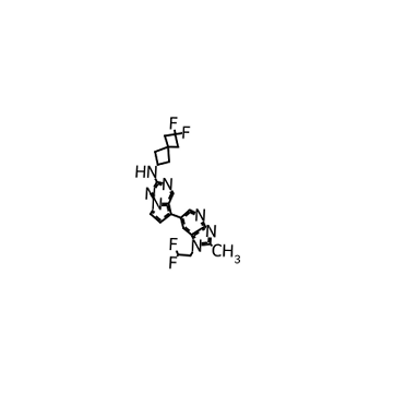 Cc1nc2ncc(-c3ccn4nc(NC5CC6(C5)CC(F)(F)C6)ncc34)cc2n1CC(F)F